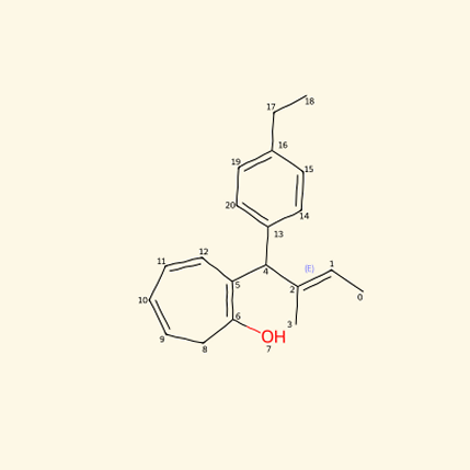 C/C=C(\C)C(C1=C(O)CC=CC=C1)c1ccc(CC)cc1